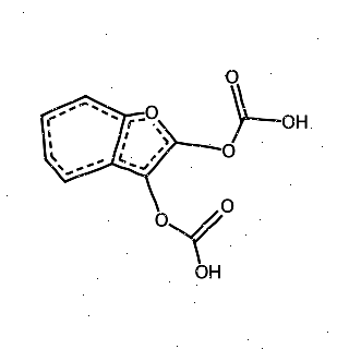 O=C(O)Oc1oc2ccccc2c1OC(=O)O